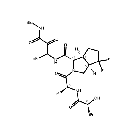 CCCC(NC(=O)[C@@H]1[C@H]2CCC(F)(F)[C@H]2CN1C(=O)[C@@H](NC(=O)[C@@H](O)C(C)C)C(C)C)C(=O)C(=O)NC(C)CC